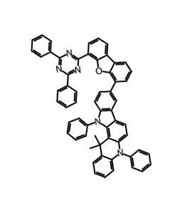 CC1(C)c2ccccc2N(c2ccccc2)c2ccc3c4cc(-c5cccc6c5oc5c(-c7nc(-c8ccccc8)nc(-c8ccccc8)n7)cccc56)ccc4n(-c4ccccc4)c3c21